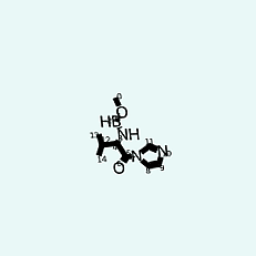 COBNC(C(=O)n1ccnc1)C(C)C